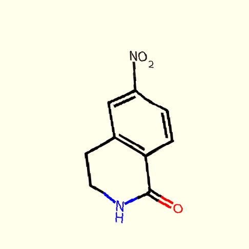 O=C1NCCc2cc([N+](=O)[O-])ccc21